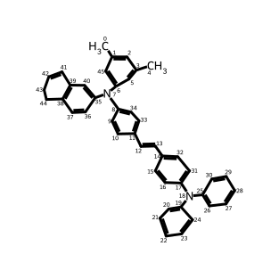 Cc1cc(C)cc(N(c2ccc(/C=C/c3ccc(N(c4ccccc4)c4ccccc4)cc3)cc2)c2ccc3c(c2)C=CCC3)c1